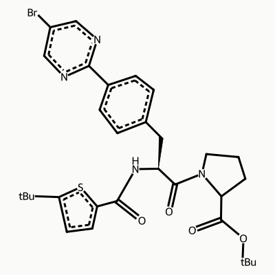 CC(C)(C)OC(=O)C1CCCN1C(=O)[C@H](Cc1ccc(-c2ncc(Br)cn2)cc1)NC(=O)c1ccc(C(C)(C)C)s1